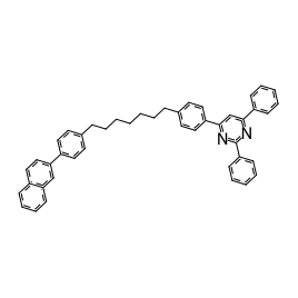 c1ccc(-c2cc(-c3ccc(CCCCCCCc4ccc(-c5ccc6ccccc6c5)cc4)cc3)nc(-c3ccccc3)n2)cc1